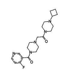 O=C(CN1CCN(C(=O)c2cnccc2F)CC1)N1CCN(C2CCC2)CC1